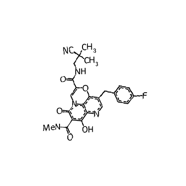 CNC(=O)c1c(O)c2ncc(Cc3ccc(F)cc3)c3c2n(c1=O)C=C(C(=O)NCC(C)(C)C#N)O3